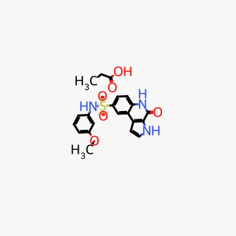 CCC(=O)O.COc1cccc(NS(=O)(=O)c2ccc3[nH]c(=O)c4[nH]ccc4c3c2)c1